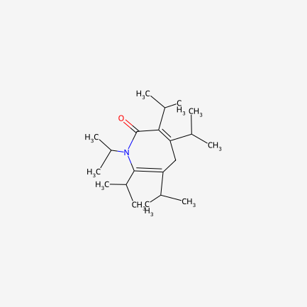 CC(C)C1=C(C(C)C)C(=O)N(C(C)C)C(C(C)C)=C(C(C)C)C1